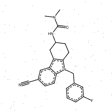 CN(C)C(=O)NC1CCc2c(c3cc(C#N)ccc3n2Cc2cccc(F)c2)C1